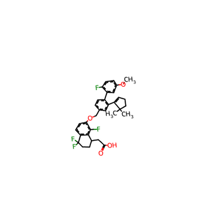 COc1ccc(F)c(-c2ccc(COc3ccc4c(c3F)C(CC(=O)O)CCC4(F)F)cc2C2=CCCC2(C)C)c1